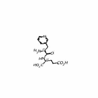 N[C@@H](Cc1cccnc1)C(=O)N[C@@H](CCC(=O)O)C(=O)O